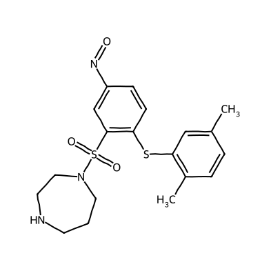 Cc1ccc(C)c(Sc2ccc(N=O)cc2S(=O)(=O)N2CCCNCC2)c1